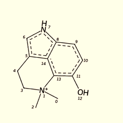 C[N+]1(C)CCc2c[nH]c3ccc(O)c1c23